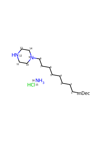 CCCCCCCCCCCCCCCCCCN1CCNCC1.Cl.N